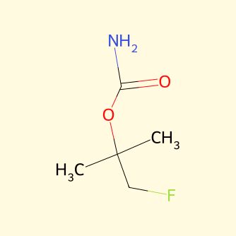 CC(C)(CF)OC(N)=O